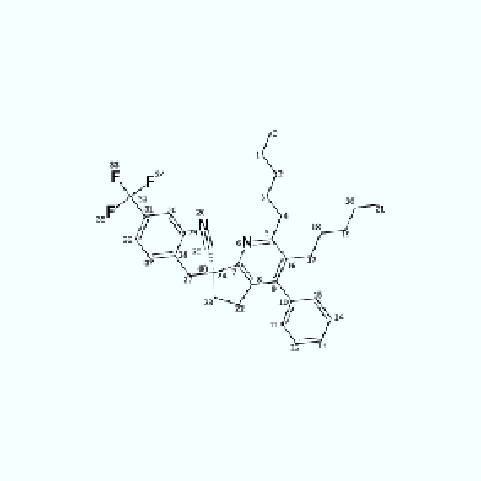 CCCCCc1nc2c(c(-c3ccccc3)c1CCCCC)CC[C@@]2(C#N)Cc1ccc(C(F)(F)F)cc1